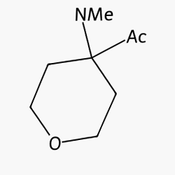 CNC1(C(C)=O)CCOCC1